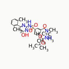 Cc1cccc(C)c1-c1cc(O)nc(NS(=O)(=O)c2cccc(C(=O)N(C)C(C)(C)NC(=O)OC(C)(C)C)c2)n1